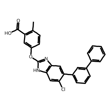 Cc1ccc(Oc2nc3cc(-c4cccc(-c5ccccc5)c4)c(Cl)cc3[nH]2)cc1C(=O)O